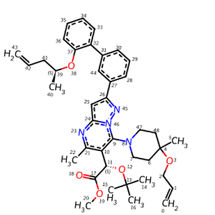 C=CCOC1(C)CCN(c2c([C@H](OC(C)(C)C)C(=O)OC)c(C)nc3cc(-c4cccc(-c5ccccc5O[C@@H](C)CC=C)c4)nn23)CC1